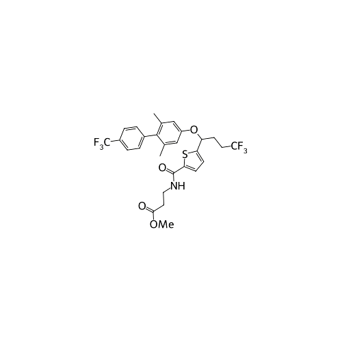 COC(=O)CCNC(=O)c1ccc(C(CCC(F)(F)F)Oc2cc(C)c(-c3ccc(C(F)(F)F)cc3)c(C)c2)s1